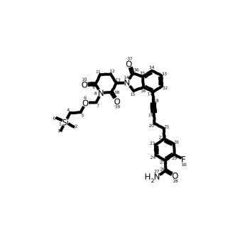 C[Si](C)(C)CCOCN1C(=O)CCC(N2Cc3c(C#CCCc4ccc(C(N)=O)c(F)c4)cccc3C2=O)C1=O